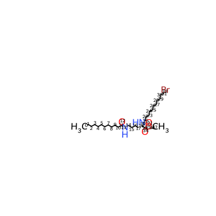 CCCCCCCCCCCC(=O)NCCCC[C@H](NC(=O)CCCCCCCCCCBr)C(=O)OCC